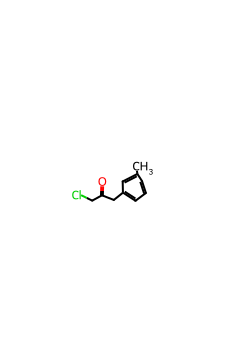 Cc1cccc(CC(=O)CCl)c1